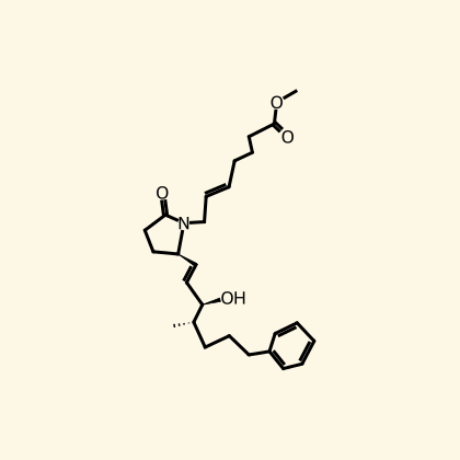 COC(=O)CCCC=CCN1C(=O)CC[C@@H]1C=C[C@@H](O)[C@@H](C)CCCc1ccccc1